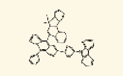 CC1(C)c2cc(-c3c4ccccc4c(-c4ccccc4)c4ccc(-c5ccc(-n6c7c(c8ccccc86)C=CCC7)cc5)cc34)c3ccccc3c2C2C=CC=CC21